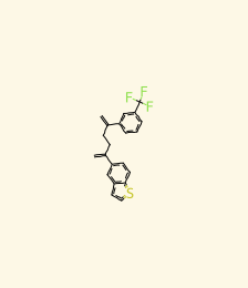 C=C(CCC(=C)c1ccc2sccc2c1)c1cccc(C(F)(F)F)c1